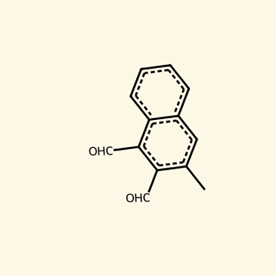 Cc1cc2ccccc2c(C=O)c1C=O